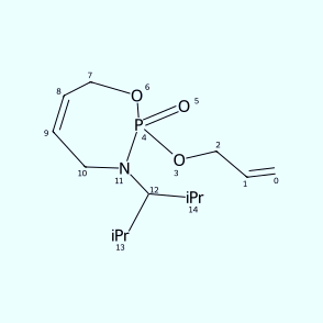 C=CCOP1(=O)OCC=CCN1C(C(C)C)C(C)C